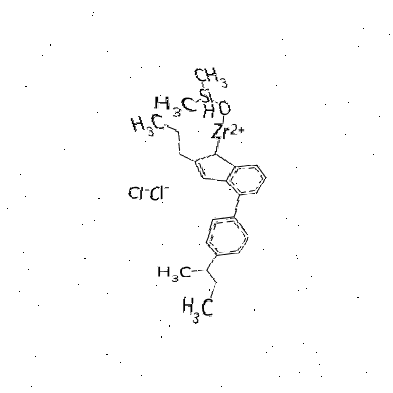 CCCC1=Cc2c(-c3ccc(C(C)CC)cc3)cccc2[CH]1[Zr+2][O][SiH](C)C.[Cl-].[Cl-]